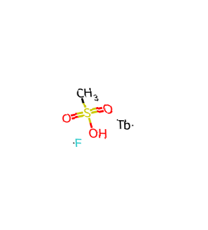 CS(=O)(=O)O.[F].[Tb]